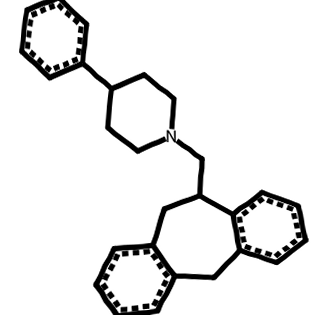 c1ccc(C2CCN(CC3Cc4ccccc4Cc4ccccc43)CC2)cc1